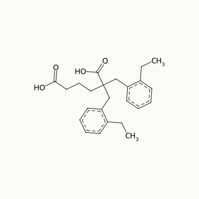 CCc1ccccc1CC(CCCC(=O)O)(Cc1ccccc1CC)C(=O)O